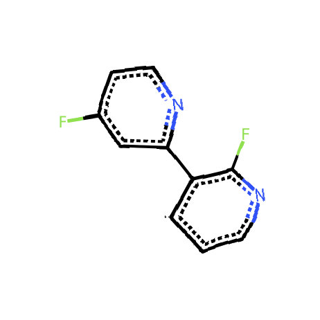 Fc1ccnc(-c2[c]ccnc2F)c1